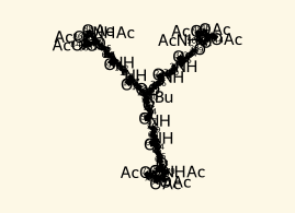 CC(=O)NC1C(OCCCCC(=O)NCCCNC(=O)CCOCC(COCCC(=O)NCCCNC(=O)CCCCOC2OC(COC(C)=O)C(OC(C)=O)C(OC(C)=O)C2NC(C)=O)(COCCC(=O)NCCCNC(=O)CCCCOC2OC(COC(C)=O)C(OC(C)=O)C(OC(C)=O)C2NC(C)=O)C(C)(C)C)OC(COC(C)=O)C(OC(C)=O)C1OC(C)=O